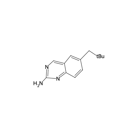 CC(C)(C)Cc1ccc2nc(N)ncc2c1